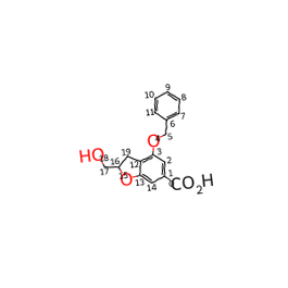 O=C(O)c1cc(OCc2ccccc2)c2c(c1)OC(CO)C2